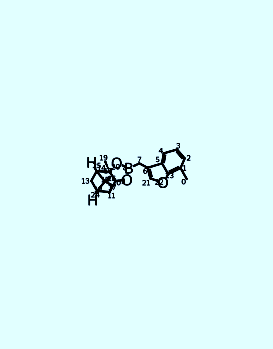 Cc1cccc2c(CB3OC4C[C@@H]5C[C@@H](C5(C)C)[C@]4(C)O3)coc12